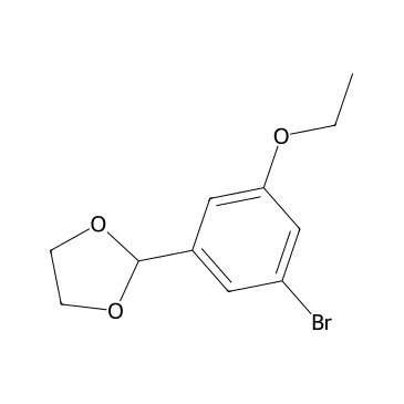 CCOc1cc(Br)cc(C2OCCO2)c1